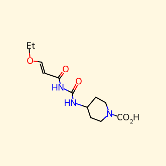 CCOC=CC(=O)NC(=O)NC1CCN(C(=O)O)CC1